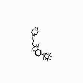 Cn1c(CCCN2CCOCC2)nc2ccc(B3OC(C)(C)C(C)(C)O3)cc21